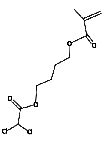 C=C(C)C(=O)OCCCCOC(=O)C(Cl)Cl